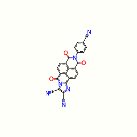 N#Cc1ccc(N2C(=O)c3ccc4c(=O)n5c(C#N)c(C#N)nc5c5ccc(c3c45)C2=O)cc1